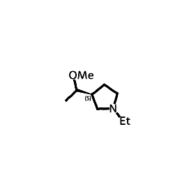 CCN1CC[C@H](C(C)OC)C1